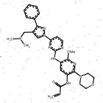 C=CC(=O)Nc1cc(Nc2nccc(-n3cc(CN(C)C)c(-c4ccccc4)n3)n2)c(OC)nc1N1CCOCC1